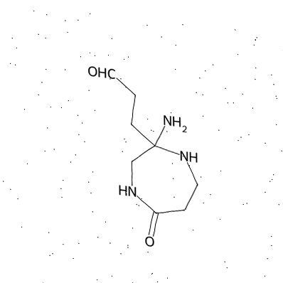 NC1(CCC=O)CNC(=O)CCN1